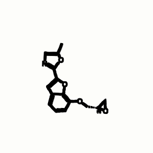 Cc1cnc(-c2cc3cccc(OC[C@@H]4CO4)c3o2)o1